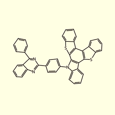 c1ccc(-c2nc(-c3ccc(-n4c5ccccc5c5c6sc7ccccc7c6c6c7ccccc7sc6c54)cc3)nc3ccccc23)cc1